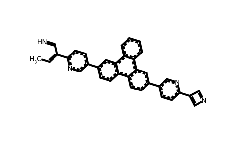 C/C=C(\C=N)c1ccc(-c2ccc3c4ccc(-c5ccc(C6=CN=C6)nc5)cc4c4ccccc4c3c2)cn1